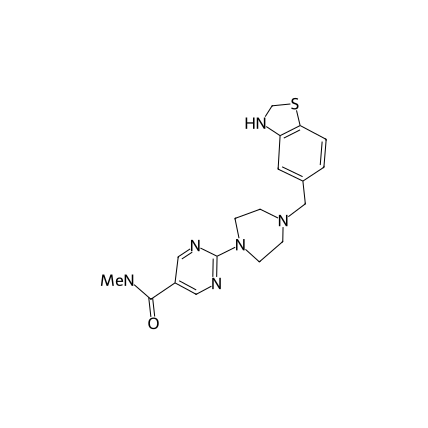 CNC(=O)c1cnc(N2CCN(Cc3ccc4c(c3)NCS4)CC2)nc1